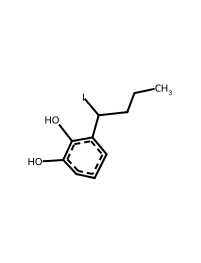 CCCC(I)c1cccc(O)c1O